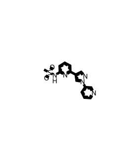 CS(=O)(=O)Nc1cccc(-c2cnn(-c3cccnc3)c2)n1